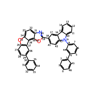 c1ccc(-c2cccc(-n3c4ccccc4c4cc(-c5nc6ccc7oc8ccc(-c9ccccc9)cc8c7c6o5)ccc43)c2)cc1